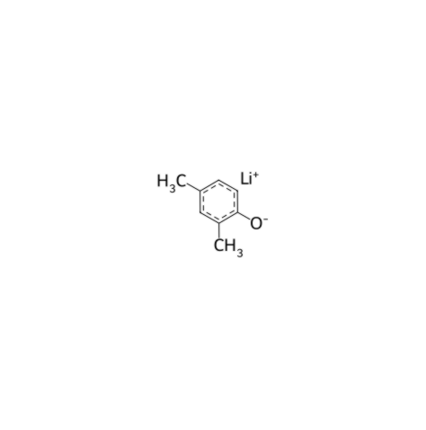 Cc1ccc([O-])c(C)c1.[Li+]